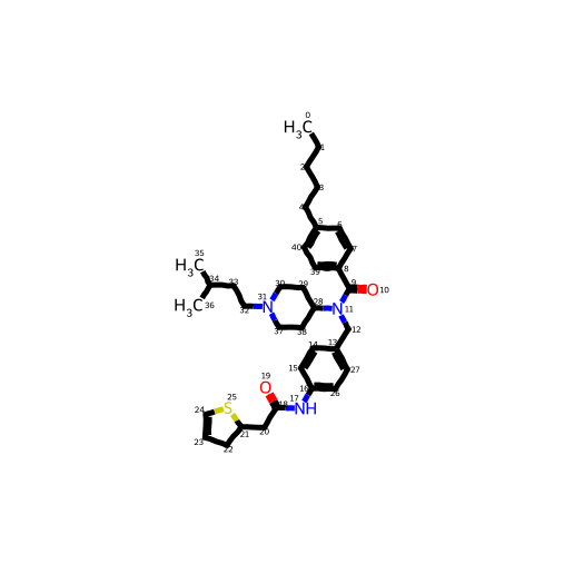 CCCCCc1ccc(C(=O)N(Cc2ccc(NC(=O)CC3CC=CS3)cc2)C2CCN(CCC(C)C)CC2)cc1